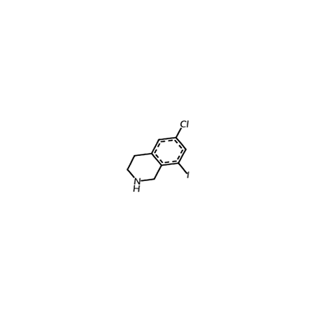 Clc1cc(I)c2c(c1)CCNC2